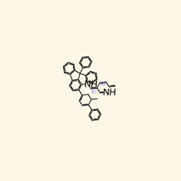 C=C/C=C\C(C=N)=C/Nc1c(C2=CC=C(c3ccccc3)C(C)C2)ccc2c1C(c1ccccc1)(c1ccccc1)c1ccccc1-2